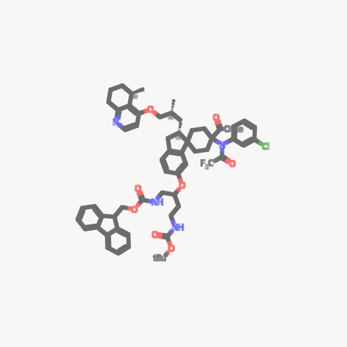 COC(=O)C1(N(C(=O)C(F)(F)F)c2cccc(Cl)c2)CCC2(CC1)c1cc(OC(CCNC(=O)OC(C)(C)C)CNC(=O)OCC3c4ccccc4-c4ccccc43)ccc1C[C@@H]2C[C@@H](C)COc1ccnc2c1[C@H](C)CCC2